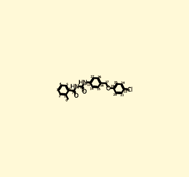 Cc1ccccc1C(=O)NC(=O)Nc1ccc(COc2ccc(Cl)cc2)cc1